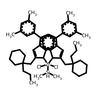 CCCC1(CC2=Cc3c(-c4cc(C)cc(C)c4)cccc3[CH]2[Zr]([Cl])([Cl])([CH]2C(CC3(CCC)CCCCC3)=Cc3c(-c4cc(C)cc(C)c4)cccc32)[SiH](C)C)CCCCC1